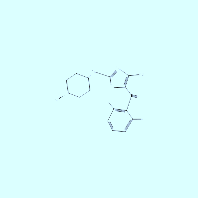 Nc1nc(N[C@H]2CC[C@H](N)CC2)sc1C(=O)c1c(F)cccc1F